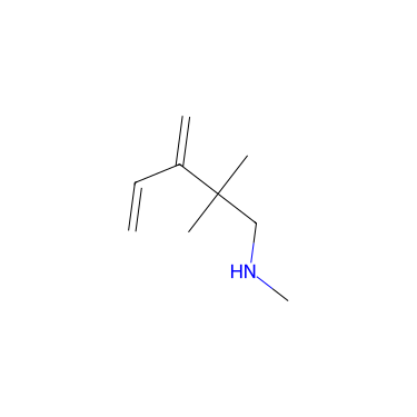 C=CC(=C)C(C)(C)CNC